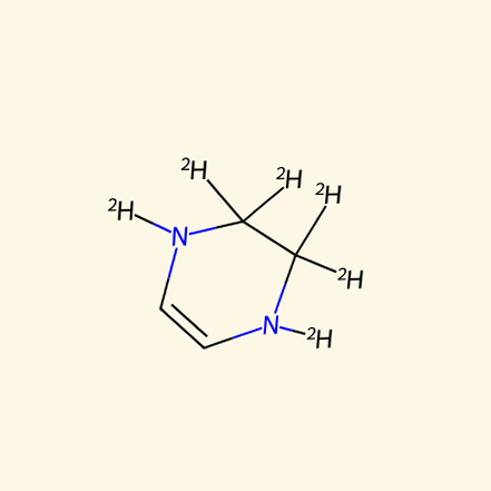 [2H]N1C=CN([2H])C([2H])([2H])C1([2H])[2H]